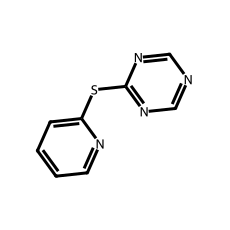 c1ccc(Sc2ncncn2)nc1